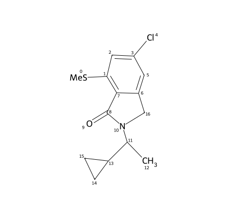 CSc1cc(Cl)cc2c1C(=O)N(C(C)C1CC1)C2